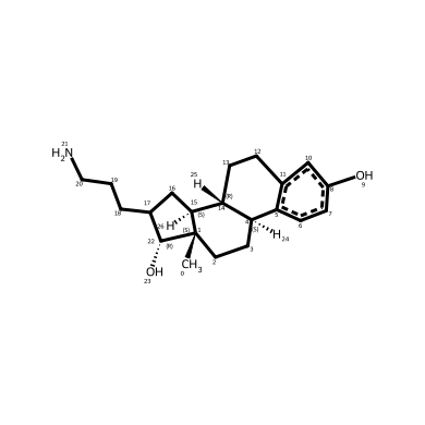 C[C@]12CC[C@@H]3c4ccc(O)cc4CC[C@H]3[C@@H]1CC(CCCN)[C@H]2O